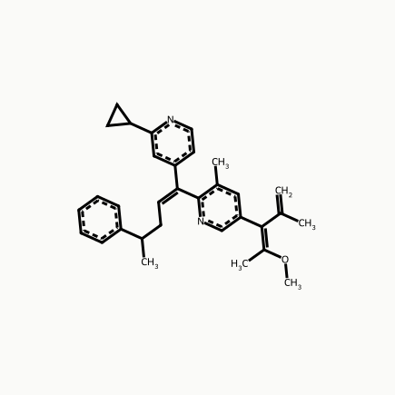 C=C(C)/C(=C(/C)OC)c1cnc(/C(=C\CC(C)c2ccccc2)c2ccnc(C3CC3)c2)c(C)c1